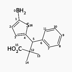 Bc1ccc(C(c2ccccc2)C(C)(C)C(=O)O)s1